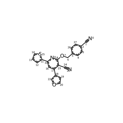 N#Cc1ccc(COc2nc(-c3cccs3)cc(-c3ccoc3)c2C#N)cc1